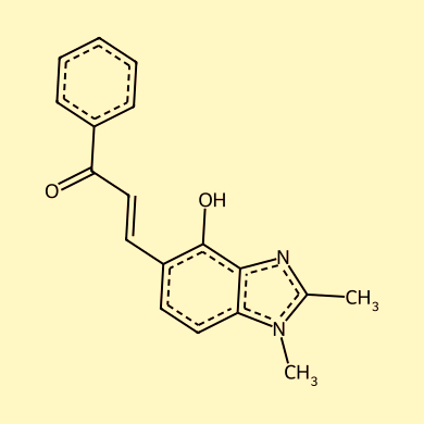 Cc1nc2c(O)c(C=CC(=O)c3ccccc3)ccc2n1C